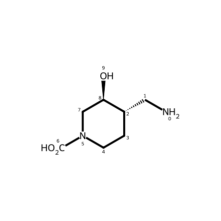 NC[C@@H]1CCN(C(=O)O)C[C@H]1O